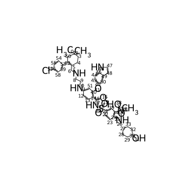 CC1(C)CCC(CNCCNc2ccc(C(=O)NS(=O)(=O)c3ccc(NC[C@H]4CC[C@H](O)CC4)c([N+](C)([O-])O)c3)c(Oc3ccc4[nH]ccc4c3)c2)=C(c2ccc(Cl)cc2)C1